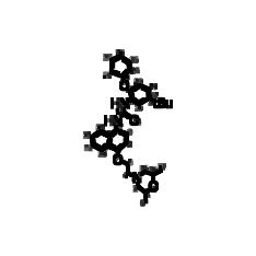 CC1CN(CCOc2ccc(NC(=O)Nc3cc(C(C)(C)C)ccc3Oc3ccccc3)c3ccccc23)CC(C)O1